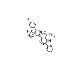 CC(C)[C@@H](NC(=O)c1ccccn1)C(=O)N1CCC(c2ccc(F)cc2)C(C)(C)C1